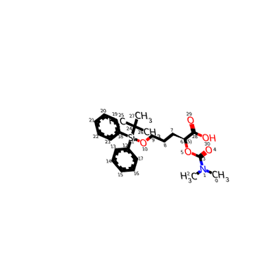 CN(C)C(=O)O[C@@H](CCCO[Si](c1ccccc1)(c1ccccc1)C(C)(C)C)C(=O)O